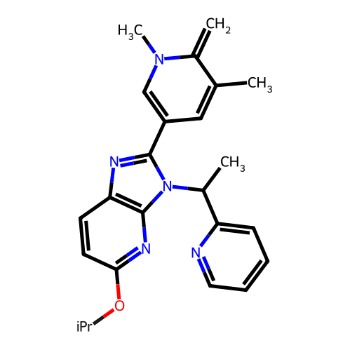 C=C1C(C)=CC(c2nc3ccc(OC(C)C)nc3n2C(C)c2ccccn2)=CN1C